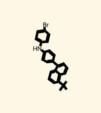 CC(C)(C)c1cccc2c(-c3ccc(Nc4ccc(Br)cc4)cc3)cccc12